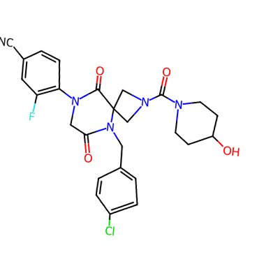 N#Cc1ccc(N2CC(=O)N(Cc3ccc(Cl)cc3)C3(CN(C(=O)N4CCC(O)CC4)C3)C2=O)c(F)c1